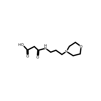 O=C(O)CC(=O)NCCCN1CCOCC1